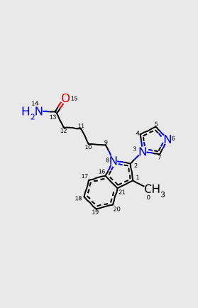 Cc1c(-n2ccnc2)n(CCCCC(N)=O)c2ccccc12